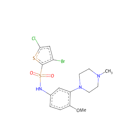 COc1ccc(NS(=O)(=O)c2sc(Cl)cc2Br)cc1N1CCN(C)CC1